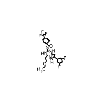 CCOCCCN/C(=N/C(=O)c1ccc(C(F)(F)F)cc1)Nc1cc(-c2cc(F)cc(F)c2)[nH]n1